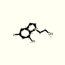 CC(C)c1cc(Cl)cc2ccn(CCO)c12